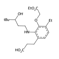 CCOC(=O)COc1c(CC)ccc(CCC(=O)O)c1NCCC(O)C(C)(C)C